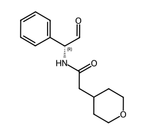 O=C[C@H](NC(=O)CC1CCOCC1)c1ccccc1